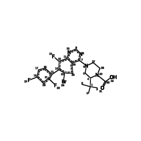 CC(C)(C)C1CN(c2ncnc3c(F)c(-c4ccc(F)cc4F)c(Br)cc23)CCN1C(=O)O